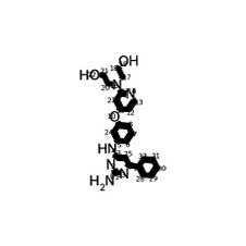 Nc1nc(Nc2cccc(Oc3ccnc(N(CCO)CCO)c3)c2)cc(-c2ccccc2)n1